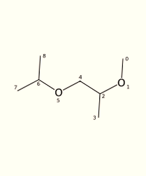 COC(C)COC(C)C